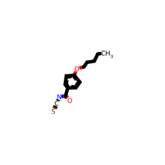 CCCCCOc1ccc(C(=O)N=C=S)cc1